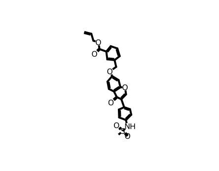 C=CCOC(=O)c1cccc(COc2ccc3c(=O)c(-c4ccc(NS(C)(=O)=O)cc4)coc3c2)c1